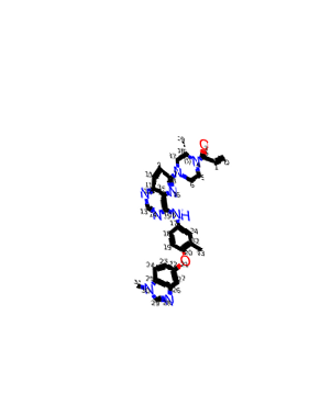 C=CC(=O)N1CCN(c2ccc3ncnc(Nc4ccc(Oc5ccc6c(c5)ncn6C)c(C)c4)c3n2)C[C@@H]1C